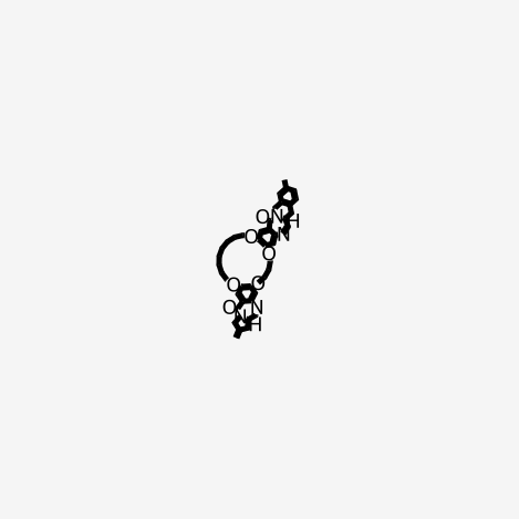 C=C1C[C@H]2C=Nc3cc4c(cc3C(=O)N2C1)OCCCCCCCCOc1cc2c(cc1OCCCO4)N=C[C@@H]1Cc3ccc(C)cc3CN1C2=O